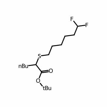 CCCCC(SCCCCCC(F)F)C(=O)OC(C)(C)C